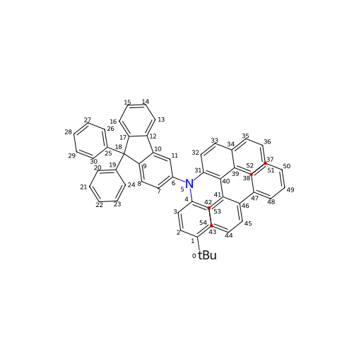 CC(C)(C)c1ccc(N(c2ccc3c(c2)-c2ccccc2C3(c2ccccc2)c2ccccc2)c2ccc3ccccc3c2-c2ccccc2-c2ccccc2)cc1